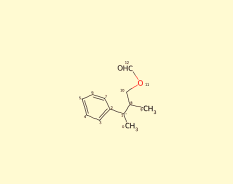 C[C](c1ccccc1)C(C)COC=O